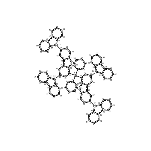 c1ccc([Si](c2ccccc2)(c2cc(-n3c4ccccc4c4ccccc43)cc3c2oc2ccc(-n4c5ccccc5c5ccccc54)cc23)c2cc(-n3c4ccccc4c4ccccc43)cc3c2oc2ccc(-n4c5ccccc5c5ccccc54)cc23)cc1